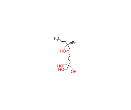 CCCC(CO)(CCC(F)(F)F)COCCCC(CO)(CO)CO